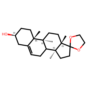 C[C@]12CC[C@H](O)CC1=CCC1[C@]2(C)CC[C@]2(C)C3(CC[C@@]12C)OCCO3